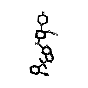 COc1cc(Nc2cc3c(cn2)cnn3S(=O)(=O)c2ccccc2C#N)ccc1N1CCNCC1